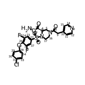 NOC(=O)[C@H]1CN(C(=O)Cc2ccncc2)CCN1S(=O)(=O)c1cc(F)c(Oc2ccc(Cl)cc2)c(F)c1